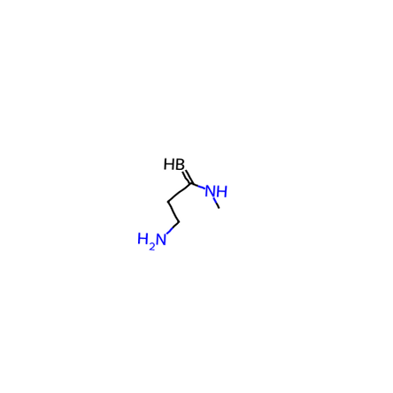 B=C(CCN)NC